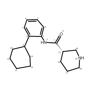 O=C(Nc1ccccc1C1CCCCC1)[C@H]1CCCNC1